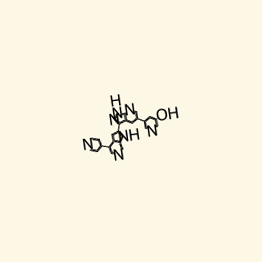 Oc1cncc(-c2cnc3[nH]nc(-c4cc5c(-c6ccncc6)cncc5[nH]4)c3c2)c1